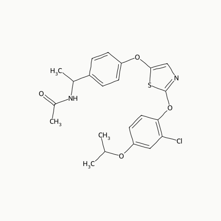 CC(=O)NC(C)c1ccc(Oc2cnc(Oc3ccc(OC(C)C)cc3Cl)s2)cc1